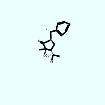 CCC(F)[C@H]1CN([C@H](C)c2ccccc2)C(=O)[C@]1(C)C(=O)O